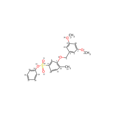 COc1cc(COc2cc(S(=O)(=O)Oc3ccccc3)ccc2C)cc(OC)c1